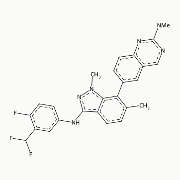 CNc1ncc2cc(-c3c(C)ccc4c(Nc5ccc(F)c(C(F)F)c5)nn(C)c34)ccc2n1